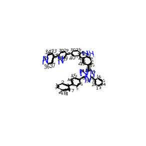 c1ccc(-c2ccc(-c3nc(-c4ccccc4)nc(-c4ccc5[nH]c6ccc(-c7ccc(-c8ccncc8)nc7)cc6c5c4)n3)cc2)cc1